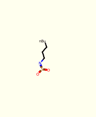 CCCCCCCN=S(=O)=O